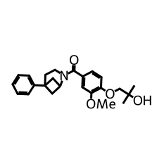 COc1cc(C(=O)N2CCC3(c4ccccc4)CC2C3)ccc1OCC(C)(C)O